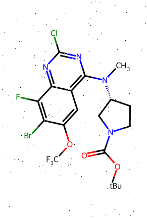 CN(c1nc(Cl)nc2c(F)c(Br)c(OC(F)(F)F)cc12)[C@@H]1CCN(C(=O)OC(C)(C)C)C1